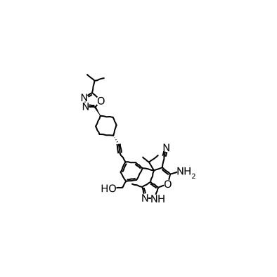 Cc1n[nH]c2c1C(c1cc(C#C[C@H]3CC[C@H](c4nnc(C(C)C)o4)CC3)cc(CO)c1)(C(C)C)C(C#N)=C(N)O2